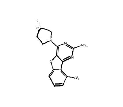 C[C@H]1CCN(c2nc(N)nc3c2oc2cccc(C(F)(F)F)c23)C1